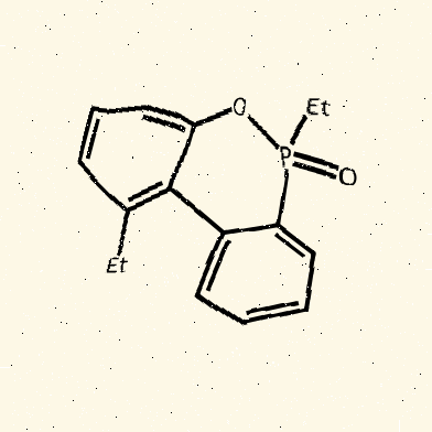 [CH2]Cc1cccc2c1-c1ccccc1P(=O)(CC)O2